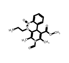 COC(=O)C1=C(C)N(C=O)C(C)=C(OCCN)C1c1ccccc1[N+](=O)[O-]